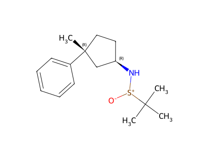 CC(C)(C)[S+]([O-])N[C@@H]1CC[C@@](C)(c2ccccc2)C1